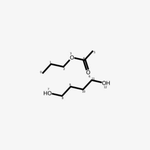 CCCOC(C)=O.OCCCCO